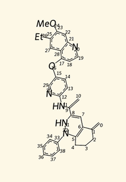 C=C1CCCC2=C1C=C(C(=C)Nc1ccc(Oc3ccnc4cc(OC)c(CC)cc34)cn1)NN2c1ccccc1